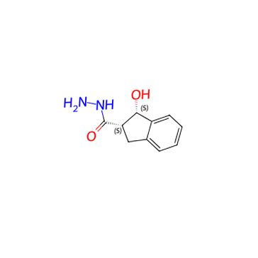 NNC(=O)[C@H]1Cc2ccccc2[C@H]1O